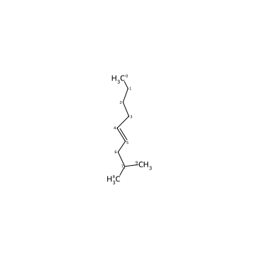 CCCCC=CC[C](C)C